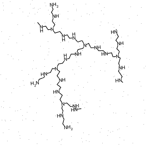 CNCCNCCN(CCNCCNC)CCNCCNCCN(CCNCCNCCN(CCNC)CCNCCN)CCNCCNCCN(CCNCCN)CCNCCNCCN(CCNCCN)CCNNC